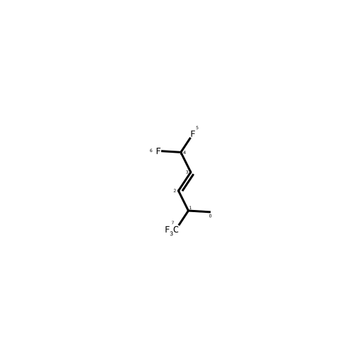 CC(/C=C/[C](F)F)C(F)(F)F